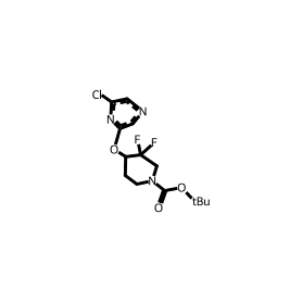 CC(C)(C)OC(=O)N1CCC(Oc2cncc(Cl)n2)C(F)(F)C1